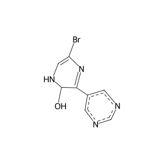 OC1NC=C(Br)N=C1c1cncnc1